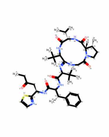 CCC(=O)C[C@@H](NC(=O)C(NC(=O)C(/N=C1\NCC(=O)N2CC[C@@H](C)[C@H]2C(=O)N[C@@H](C(C)C)C(=O)NC1C(C)(C)C)C(C)(C)C)[C@@H](C)c1ccccc1)c1nccs1